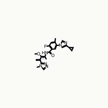 C=C(/C(OC)=C(\C)NC(=O)c1cc(-n2cnc(C3CC3)c2)c(C)cc1F)c1nncn1C